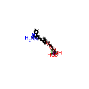 Cc1ccc2c(c1)nc(N)c1ncc(CCc3ccc(OCCOCCOC(C)C(F)(F)P(=O)(O)O)cc3C)cc12